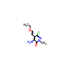 CCO/C=C/c1c(Cl)nn(C)c(=O)c1N